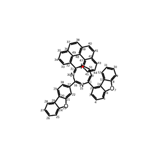 C1=C(c2cccc3oc4ccccc4c23)/N=C(c2ccc3c(c2)oc2ccccc23)\N=C(\c2cccc3ccc4ccc5cccnc5c4c23)CC\1